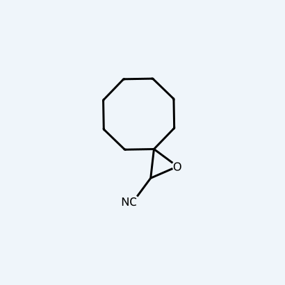 N#CC1OC12CCCCCCC2